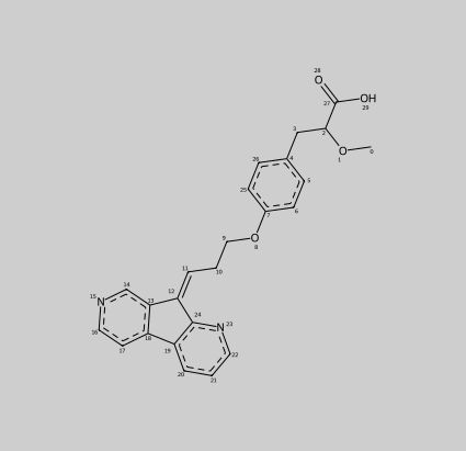 COC(Cc1ccc(OCCC=C2c3cnccc3-c3cccnc32)cc1)C(=O)O